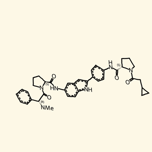 CN[C@@H](C(=O)N1CCC[C@H]1C(=O)Nc1ccc2[nH]c(-c3ccc(NC(=O)[C@@H]4CCCN4C(=O)CC4CC4)cc3)cc2c1)c1ccccc1